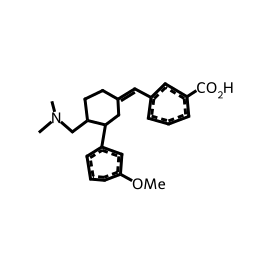 COc1cccc(C2CC(=Cc3cccc(C(=O)O)c3)CCC2CN(C)C)c1